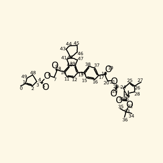 CC1=C[C@@H](C(=O)OCC(=O)c2ccc(-c3ccc(C(=O)COC(=O)[C@@H]4C=C(C)CN4C(=O)OC(C)(C)C)cc3)c3c2CC2(CCCC2)C3)CC1